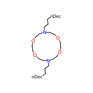 CCCCCCCCCCCCCN1CCOCCOCCN(CCCCCCCCCCCCC)CCOCCOCC1